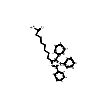 O=C(O)CCCCCCCc1nc(-c2ccccc2)n(-c2ccccc2)c1-c1ccccc1